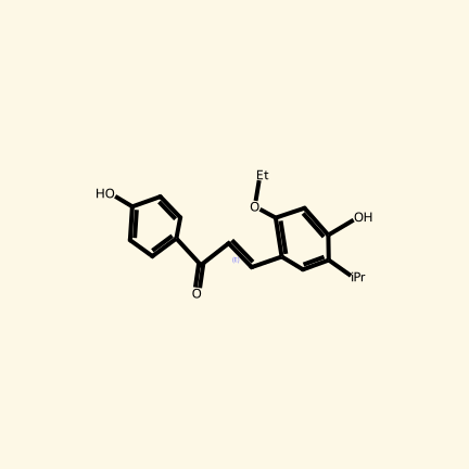 CCOc1cc(O)c(C(C)C)cc1/C=C/C(=O)c1ccc(O)cc1